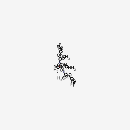 COc1cc(/C=C/C(=O)CC(Cc2ccc(N)cc2)(Cc2ccc(N)cc2)C(O)(O)C(=O)/C=C/c2ccc(OC(=O)c3ccc(OC(F)(F)C(F)F)cc3)c(OC)c2)ccc1OC(=O)c1ccc(OC(F)(F)C(F)F)cc1